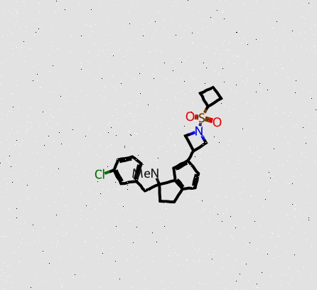 CNC1(Cc2cccc(Cl)c2)CCc2ccc(C3CN(S(=O)(=O)C4CCC4)C3)cc21